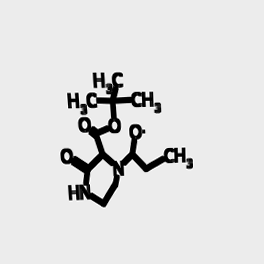 CCC([O])N1CCNC(=O)C1C(=O)OC(C)(C)C